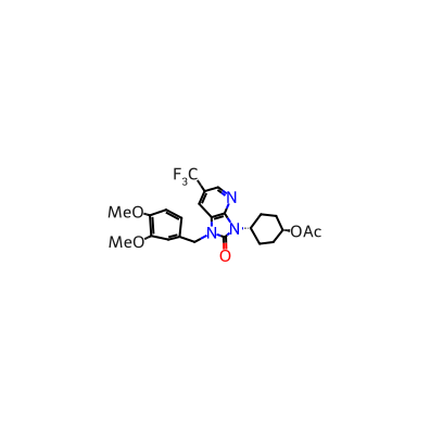 COc1ccc(Cn2c(=O)n([C@H]3CC[C@H](OC(C)=O)CC3)c3ncc(C(F)(F)F)cc32)cc1OC